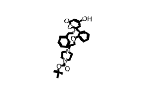 CC(C)(C)OC(=O)N1CCN(CCOc2ccccc2[C@]2(CCc3ccccc3)CC(O)=CC(=O)O2)CC1